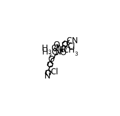 Cc1c(N2C(=O)N(CCCOc3ccc(-c4ccncc4Cl)cc3)C(C)(C)C2=O)ccc(C#N)c1Cl